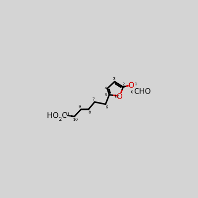 O=COc1ccc(CCCCCC(=O)O)o1